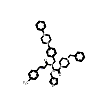 O=C([C@H](Cc1ccsc1)N(Cc1ccc(N2CCN(c3ccccc3)CC2)cc1)C(=O)/C=C/c1ccc(C(F)(F)F)cc1)N1CCN(Cc2ccccc2)CC1